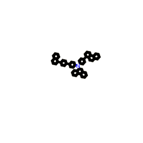 c1ccc2c(-c3ccc(-c4ccc(N(c5ccc(-c6cccc7c6ccc6ccccc67)cc5)c5cc6ccccc6c6ccccc56)cc4)cc3)cccc2c1